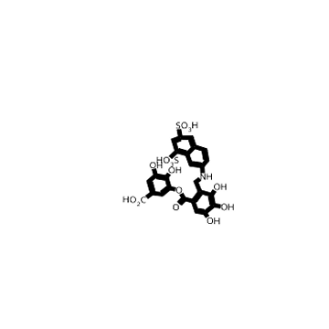 O=C(O)c1cc(O)c(O)c(OC(=O)c2cc(O)c(O)c(O)c2CNc2ccc3cc(S(=O)(=O)O)cc(S(=O)(=O)O)c3c2)c1